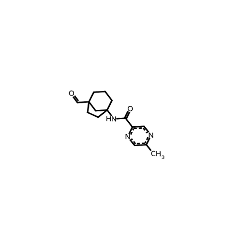 Cc1cnc(C(=O)NC23CCCC(C=O)(CC2)C3)cn1